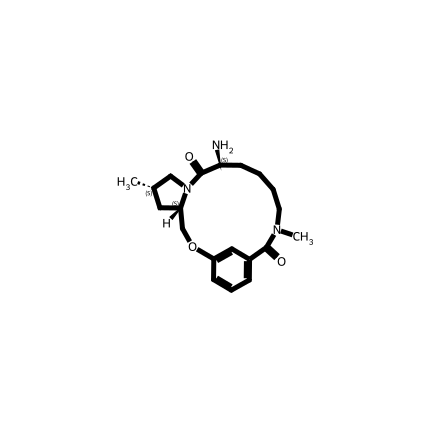 C[C@H]1C[C@H]2COc3cccc(c3)C(=O)N(C)CCCC[C@H](N)C(=O)N2C1